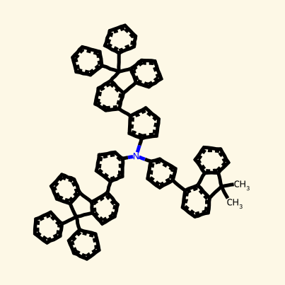 CC1(C)c2ccccc2-c2c(-c3ccc(N(c4cccc(-c5cccc6c5-c5ccccc5C6(c5ccccc5)c5ccccc5)c4)c4cccc(-c5cccc6c5-c5ccccc5C6(c5ccccc5)c5ccccc5)c4)cc3)cccc21